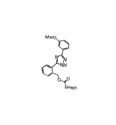 CCCCCCCC(=O)OCc1ccccc1-c1nc(-c2cccc(OC)c2)n[nH]1